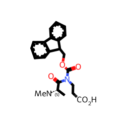 CN[C@@H](C)C(=O)N(CCC(=O)O)C(=O)OCC1c2ccccc2-c2ccccc21